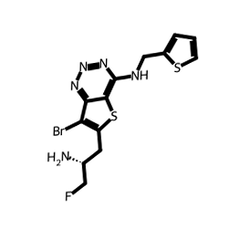 N[C@@H](CF)Cc1sc2c(NCc3cccs3)nnnc2c1Br